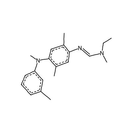 CCN(C)C=Nc1cc(C)c(N(C)c2cccc(C)c2)cc1C